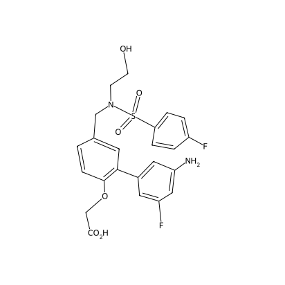 Nc1cc(F)cc(-c2cc(CN(CCO)S(=O)(=O)c3ccc(F)cc3)ccc2OCC(=O)O)c1